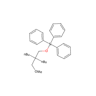 CCCCC(CCCC)(COC)CO[Si](c1ccccc1)(c1ccccc1)c1ccccc1